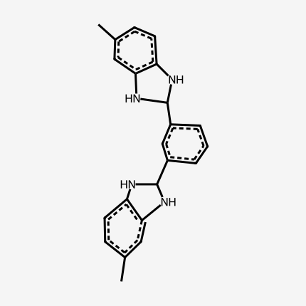 Cc1ccc2c(c1)NC(c1cccc(C3Nc4ccc(C)cc4N3)c1)N2